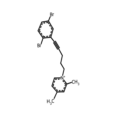 Cc1cc[n+](CCCC#Cc2cc(Br)ccc2Br)c(C)c1